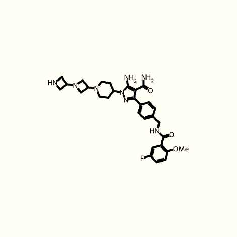 COc1ccc(F)cc1C(=O)NCc1ccc(-c2nn(C3CCN(C4CN(C5CNC5)C4)CC3)c(N)c2C(N)=O)cc1